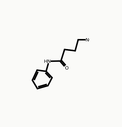 [N]CCCC(=O)Nc1ccccc1